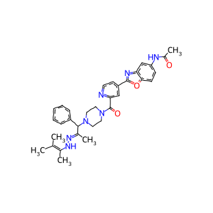 CC(=O)Nc1ccc2oc(-c3ccnc(C(=O)N4CCN(C(/C(C)=N/NC(C)=C(C)C)c5ccccc5)CC4)c3)nc2c1